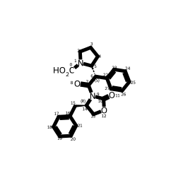 O=C(O)N1CCCC1[C@@H](C(=O)N1C(=O)OC[C@H]1Cc1ccccc1)c1ccccc1